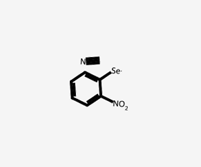 C#N.O=[N+]([O-])c1ccccc1[Se]